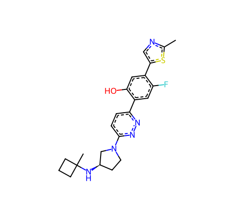 Cc1ncc(-c2cc(O)c(-c3ccc(N4CC[C@@H](NC5(C)CCC5)C4)nn3)cc2F)s1